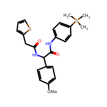 COc1ccc(C(NC(=O)Cc2cccs2)C(=O)Nc2ccc(S(C)(C)C)cc2)cc1